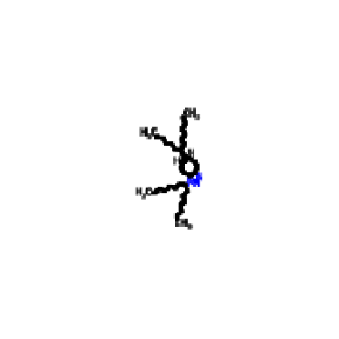 CCCCCCCC(CCCCCC)C1[C@H]2CCc3c(nnn3C(CCCCCCC)CCCCCCC)CC[C@@H]12